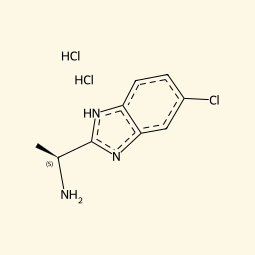 C[C@H](N)c1nc2cc(Cl)ccc2[nH]1.Cl.Cl